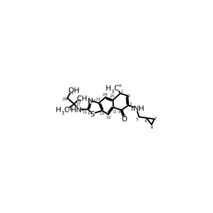 CC1C=C(NCC2CC2)C(=O)c2cc3sc(NC(C)(C)CO)nc3cc21